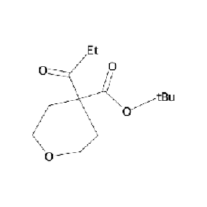 CCC(=O)C1(C(=O)OC(C)(C)C)CCOCC1